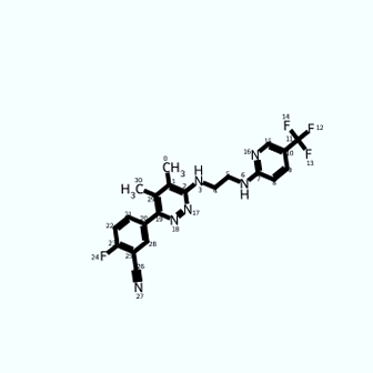 Cc1c(NCCNc2ccc(C(F)(F)F)cn2)nnc(-c2ccc(F)c(C#N)c2)c1C